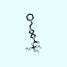 CC(C)(C)OC(=O)N1CC2(CN(CCN3CCCCC3)C2)C1